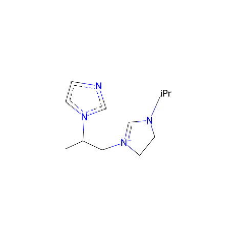 CC(C)N1C=[N+](CC(C)n2ccnc2)CC1